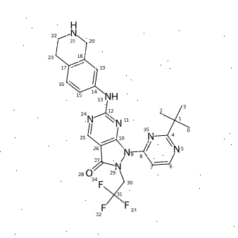 CC(C)(C)c1nccc(-n2c3nc(Nc4ccc5c(c4)CNCC5)ncc3c(=O)n2CC(F)(F)F)n1